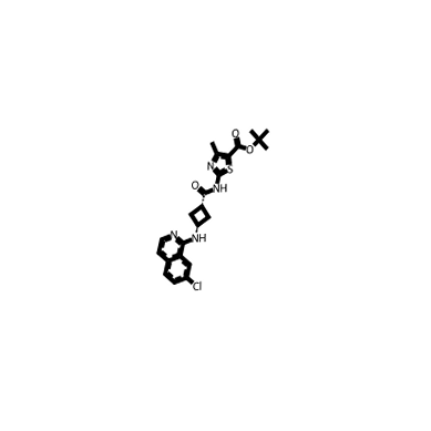 Cc1nc(NC(=O)[C@H]2C[C@@H](Nc3nccc4ccc(Cl)cc34)C2)sc1C(=O)OC(C)(C)C